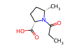 CCC(=O)N1[C@@H](C)CC[C@H]1C(=O)O